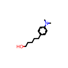 CN(C)c1ccc(CCCCCO)cc1